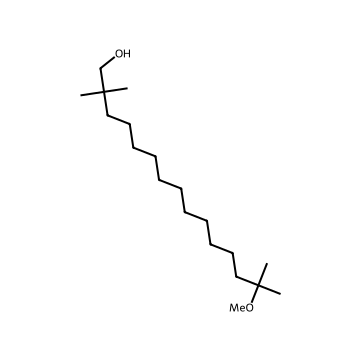 COC(C)(C)CCCCCCCCCCCC(C)(C)CO